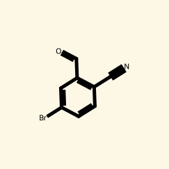 N#Cc1ccc(Br)cc1C=O